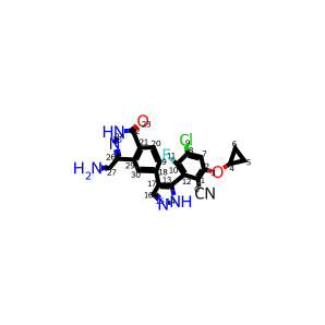 N#Cc1c(OC2CC2)cc(Cl)c(F)c1-c1[nH]ncc1-c1ccc2c(=O)[nH]nc(CN)c2c1